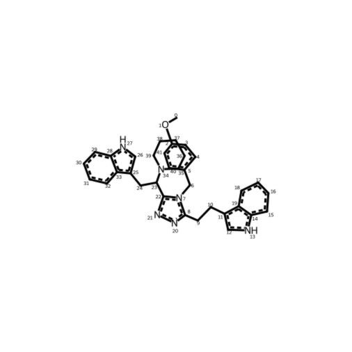 COc1ccc(Cn2c(CCc3c[nH]c4ccccc34)nnc2C(Cc2c[nH]c3ccccc23)N2CCCCC2)cc1